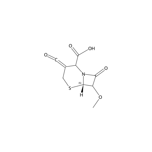 COC1C(=O)N2C(C(=O)O)C(=C=O)CS[C@@H]12